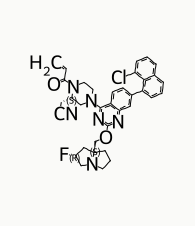 C=CC(=O)N1CCN(c2nc(OC[C@@]34CCCN3C[C@H](F)C4)nc3cc(-c4cccc5cccc(Cl)c45)ccc23)C[C@@H]1CC#N